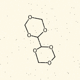 C1OCOC(C2OCOCO2)O1